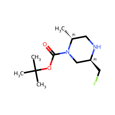 C[C@@H]1CN[C@@H](CF)CN1C(=O)OC(C)(C)C